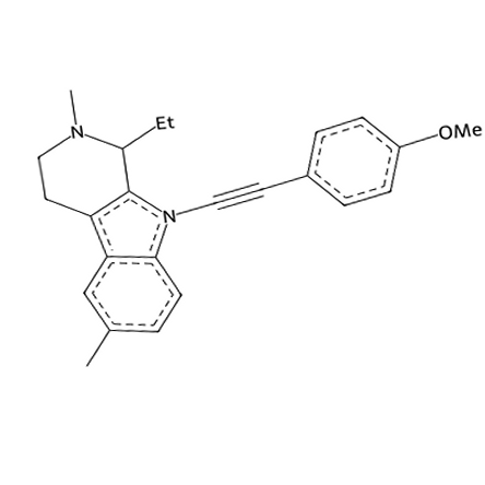 CCC1c2c(c3cc(C)ccc3n2C#Cc2ccc(OC)cc2)CCN1C